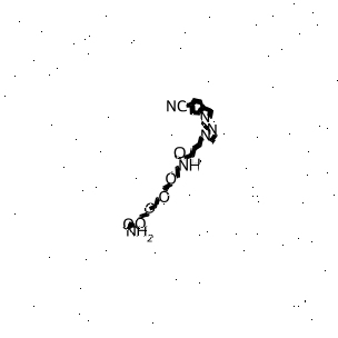 N#Cc1ccc2ccn(Cc3nccn3CCCCC(=O)NCCOCCOCCOCCOC(N)=O)c2c1